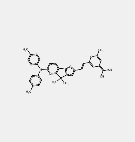 CC1=CC(=C(C#N)C#N)C=C(/C=C/c2cc3c(s2)-c2ccc(N(c4ccc(C)cc4)c4ccc(C)cc4)nc2C3(C)C)O1